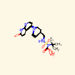 CC(C)(C)N(C(=O)O)S(=O)(=O)NCC1CCN(c2ccnc3[nH]c(=O)ccc23)CC1